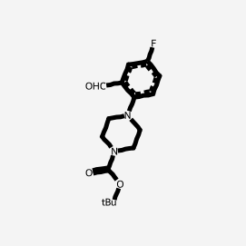 CC(C)(C)OC(=O)N1CCN(c2ccc(F)cc2C=O)CC1